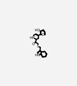 O=C(CSCc1c[nH]c2ccccc12)C1CC(c2ccccc2O)=CCN1